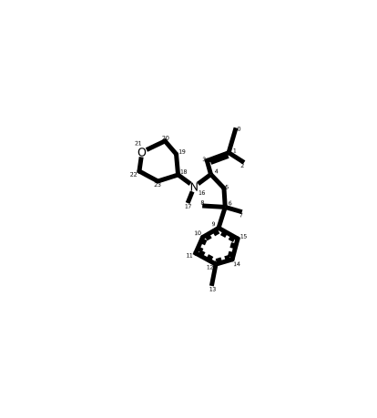 CC(C)=CC(CC(C)(C)c1ccc(C)cc1)N(C)C1CCOCC1